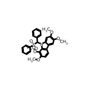 COc1cc2c3ccc(OC)c(OC)c3n(C(c3ccccc3)S(=O)(=O)c3ccccc3)c2cc1OC